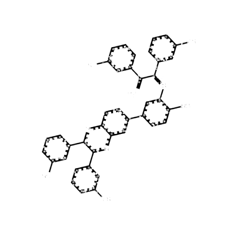 C=C(/C(=N\c1cc(-c2ccc3nc(-c4cccc(C#N)c4)c(-c4cccc(C#N)c4)nc3c2)ccc1N)c1cccc(C#N)c1)c1cccc(C#N)c1